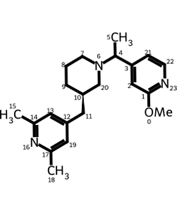 COc1cc(C(C)N2CCC[C@H](Cc3cc(C)nc(C)c3)C2)ccn1